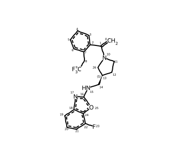 C=C(c1ccccc1CC(F)(F)F)N1CC[C@@H](CNc2nc3cccc(F)c3o2)C1